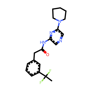 CC(F)(F)c1cccc(CC(=O)Nc2cncc(N3CCCCC3)n2)c1